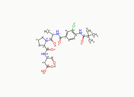 CC(NC(=O)c1ccc(NC(=O)C(C)(C)C)c(Cl)c1)C(=O)N1CCCC1C(=O)NC(C=O)CC(=O)O